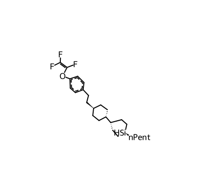 CCCCC[Si@H]1CC[C@H]([C@H]2CC[C@H](CCc3ccc(OC(F)=C(F)F)cc3)CC2)CC1